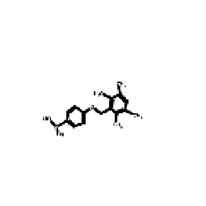 Cc1cc(C)c(C)c(COc2ccc(B(O)O)cc2)c1C